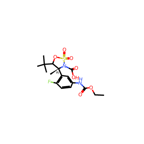 CCOC(=O)Nc1ccc(F)c([C@]2(C)C(C(C)(C)C)OS(=O)(=O)N2C(=O)O)c1